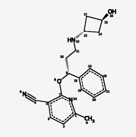 Cc1ccc(C#N)c(O[C@H](CCN[C@H]2C[C@H](O)C2)c2ccccc2)n1